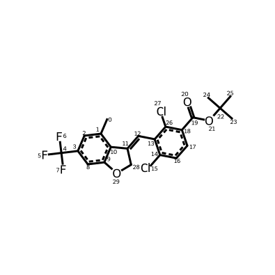 Cc1cc(C(F)(F)F)cc2c1/C(=C/c1c(Cl)ccc(C(=O)OC(C)(C)C)c1Cl)CO2